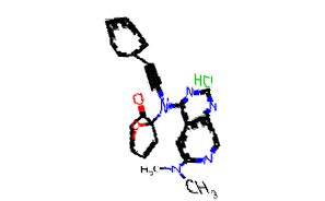 CN(C)c1cc2c(N(C#Cc3ccccc3)C34C=CC(=CC3=O)O4)ncnc2cn1.Cl